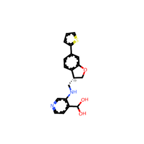 OC(O)c1ccncc1NC[C@H]1COc2cc(-c3cccs3)ccc21